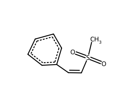 CS(=O)(=O)/C=C\c1ccccc1